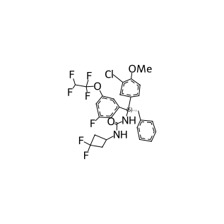 COc1ccc([C@@](Cc2ccccc2)(NC(=O)NC2CC(F)(F)C2)c2cc(F)cc(OC(F)(F)C(F)F)c2)cc1Cl